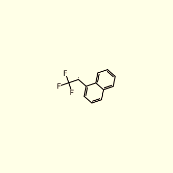 FC(F)(F)[CH]c1cccc2ccccc12